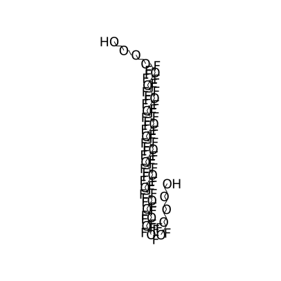 OCCOCCOCCOCC(F)(F)OC(F)(F)OC(F)(F)OC(F)(F)OC(F)(F)OC(F)(F)OC(F)(F)C(F)(F)OC(F)(F)C(F)(F)OC(F)(F)C(F)(F)OC(F)(F)C(F)(F)OC(F)(F)C(F)(F)OC(F)(F)C(F)(F)OC(F)(F)C(F)(F)OC(F)(F)C(F)(F)OC(F)(F)C(F)(F)OC(F)(F)C(F)(F)OC(F)(F)COCCOCCOCCO